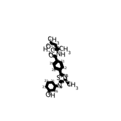 CC(=O)CC(C)(C)NC(=O)c1ccc(-c2nn(C)c(=NC3CCCC(O)C3)s2)cc1